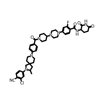 CC1CC2(CCN(c3ccc(C(=O)N4CCC(N5CCN(c6ccc(C(=O)NC7CCC(=O)NC7=O)c(F)c6)CC5)CC4)cc3)CC2)CN1c1ccc(C#N)c(Cl)c1